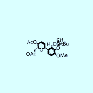 COc1ccc([C@@H]2C=C[C@H](OC(C)=O)[C@@H](COC(C)=O)O2)cc1O[Si](C)(C)C(C)(C)C